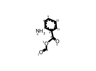 N.O=COC(=O)c1ccccc1